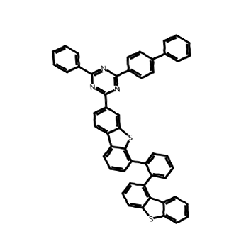 c1ccc(-c2ccc(-c3nc(-c4ccccc4)nc(-c4ccc5c(c4)sc4c(-c6ccccc6-c6cccc7sc8ccccc8c67)cccc45)n3)cc2)cc1